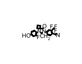 C=C1N(c2ccc(C#N)c(C(F)(F)F)c2)C(=O)C2(CCC2)N1c1ccc(O)cc1F